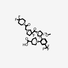 COC[C@H]1CN(C(=O)[C@@]2(F)CCN(CC(=O)N3CCC(F)(F)CC3)C2)C[C@@H]1c1ccc(C(F)(F)F)cc1N1CCC(C(=O)O)CC1